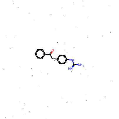 N=C(N)Nc1ccc(CC(=O)c2ccccc2)cc1